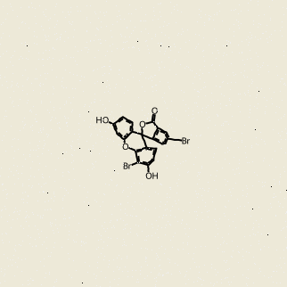 O=C1OC2(c3ccc(O)cc3Oc3c2ccc(O)c3Br)c2ccc(Br)cc21